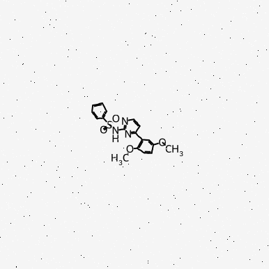 COc1ccc(OC)c(-c2ccnc(NS(=O)(=O)c3ccccc3)n2)c1